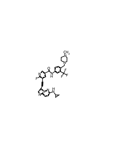 CN1CCN(Cc2ccc(NC(=O)c3cnc(F)c(C#Cc4cnc5ccc(NC6CC6)nn45)c3)cc2C(F)(F)F)CC1